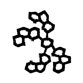 c1cnc2c(c1)ccc1ccc(-c3cc(-c4ccc5ccc6cccnc6c5n4)c(-c4ccc5ccc6cccnc6c5n4)cc3-c3ccc4ccc5cccnc5c4n3)nc12